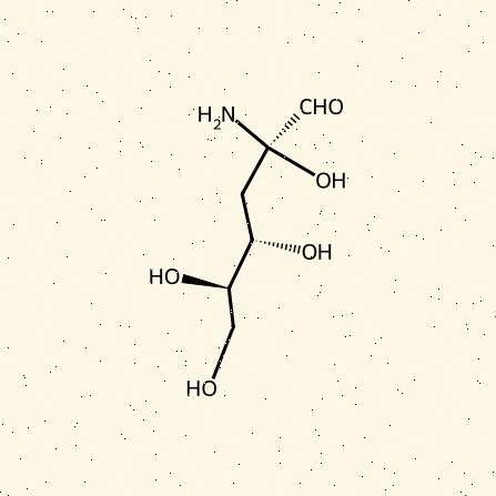 N[C@](O)(C=O)C[C@H](O)[C@H](O)CO